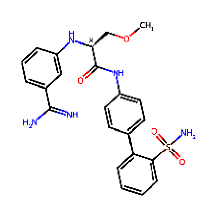 COC[C@H](Nc1cccc(C(=N)N)c1)C(=O)Nc1ccc(-c2ccccc2S(N)(=O)=O)cc1